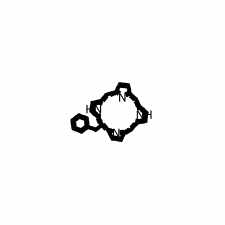 C1=Cc2cc3ccc([nH]3)c(Cc3ccccc3)c3nc(cc4ccc(cc1n2)[nH]4)C=C3